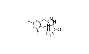 NC(=O)c1nnc(Cc2cc(F)cc(F)c2F)[nH]1